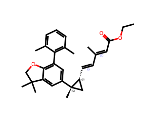 CCOC(=O)/C=C(C)/C=C/[C@@H]1C[C@]1(C)c1cc(-c2c(C)cccc2C)c2c(c1)C(C)(C)CO2